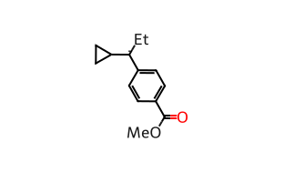 CC[C](c1ccc(C(=O)OC)cc1)C1CC1